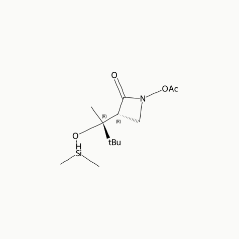 CC(=O)ON1C[C@H]([C@@](C)(O[SiH](C)C)C(C)(C)C)C1=O